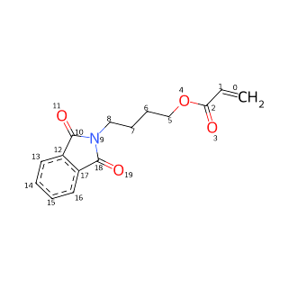 C=CC(=O)OCCCCN1C(=O)c2ccccc2C1=O